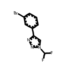 FC(F)n1cc(-c2cccc(Br)c2)nn1